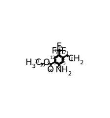 C=Cc1cc(N)c(C(=O)OCC)cc1C(F)(F)F